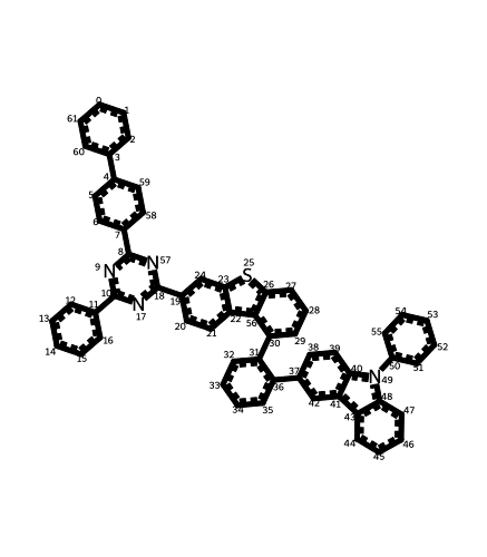 c1ccc(-c2ccc(-c3nc(-c4ccccc4)nc(-c4ccc5c(c4)sc4cccc(-c6ccccc6-c6ccc7c(c6)c6ccccc6n7-c6ccccc6)c45)n3)cc2)cc1